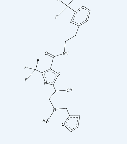 CN(Cc1ccco1)CC(O)c1nc(C(F)(F)F)c(C(=O)NCCc2cccc(C(F)(F)F)c2)s1